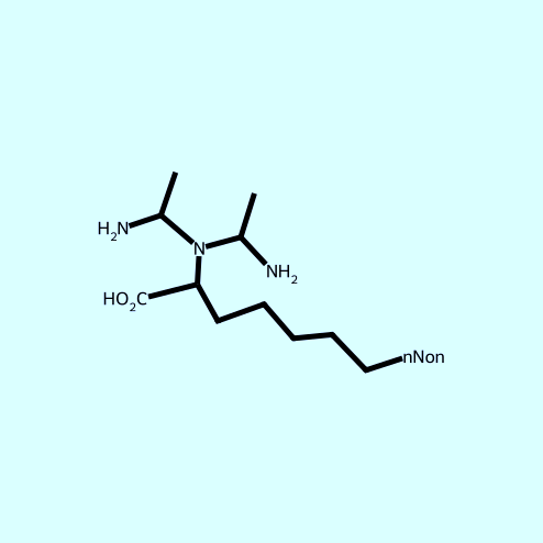 CCCCCCCCCCCCCCC(C(=O)O)N(C(C)N)C(C)N